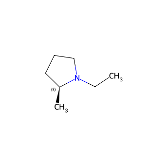 CCN1CCC[C@@H]1C